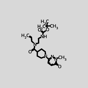 C=CCN(CCNC(=O)OC(C)(C)C)C(=O)C1CCN(c2ccc(=O)n(C)n2)CC1